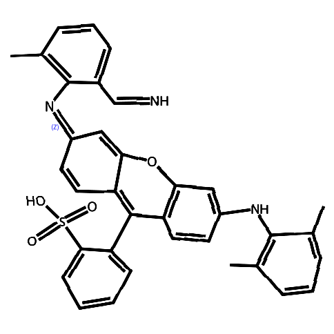 Cc1cccc(C=N)c1/N=c1/ccc2c(-c3ccccc3S(=O)(=O)O)c3ccc(Nc4c(C)cccc4C)cc3oc-2c1